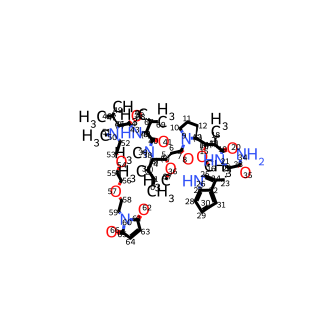 CC[C@H](C)[C@@H]([C@@H](CC(=O)N1CCC[C@H]1[C@H](OC)[C@@H](C)C(=O)N[C@@H](Cc1c[nH]c2ccccc12)C(N)=O)OC)N(C)C(=O)[C@@H](NC(=O)[C@H](C(C)C)N(C)CCOCCOCCN1C(=O)C=CC1=O)C(C)C